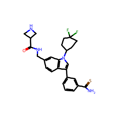 NC(=S)c1cccc(-c2cn(C3CCC(F)(F)CC3)c3cc(CNC(=O)C4CNC4)ccc23)c1